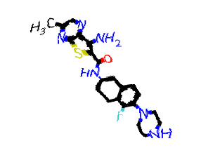 Cc1cnc2c(N)c(C(=O)N[C@H]3CCc4c(ccc(N5CCNCC5)c4F)C3)sc2n1